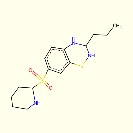 CCCC1NSc2cc(S(=O)(=O)C3CCCCN3)ccc2N1